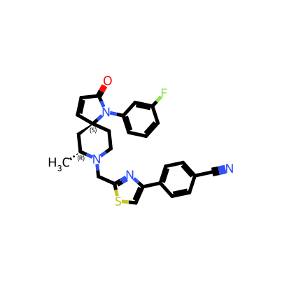 C[C@@H]1C[C@]2(C=CC(=O)N2c2cccc(F)c2)CCN1Cc1nc(-c2ccc(C#N)cc2)cs1